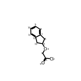 O=C(Cl)COC1Cc2ccccc2C1